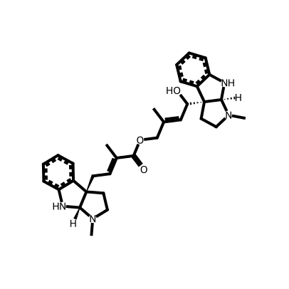 C/C(=C\C(O)[C@@]12CCN(C)[C@@H]1Nc1ccccc12)COC(=O)/C(C)=C/C[C@@]12CCN(C)[C@@H]1Nc1ccccc12